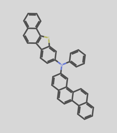 c1ccc(N(c2ccc3c(c2)sc2c4ccccc4ccc32)c2ccc3ccc4c5ccccc5ccc4c3c2)cc1